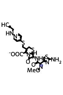 C#CCN[n+]1ccc(SCC2=C(C(=O)[O-])N3C(=O)[C@@H](NC(=O)/C(=N\OC)c4csc(N)n4)[C@H]3SC2)cc1